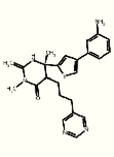 C=C1N[C@](C)(c2cc(-c3cccc(N)c3)cs2)C(CCCc2cncnc2)C(=O)N1C